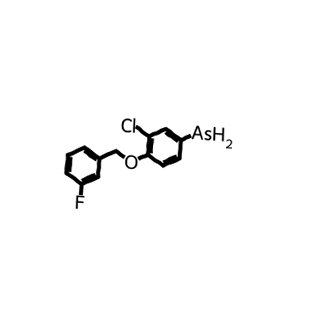 Fc1cccc(COc2ccc([AsH2])cc2Cl)c1